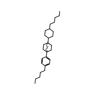 CCCCCc1ccc(C23CCC(C4CCC(CCCCC)CC4)(CC2)CC3)cc1